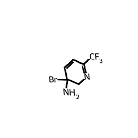 NC1(Br)C=CC(C(F)(F)F)=NC1